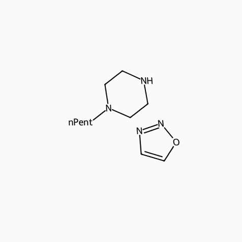 CCCCCN1CCNCC1.c1conn1